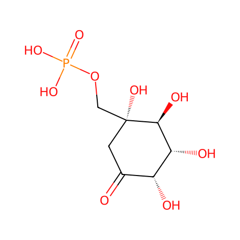 O=C1C[C@@](O)(COP(=O)(O)O)[C@@H](O)[C@H](O)[C@@H]1O